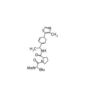 CNC(C(=O)N1CCCC1C(=O)NC(C)C1=CCC(c2scnc2C)C=C1)C(C)(C)C